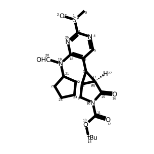 C[S+]([O-])c1ncc(C2C3CN(C(=O)OC(C)(C)C)C(=O)[C@@H]32)c(N(C=O)C2CCCC2)n1